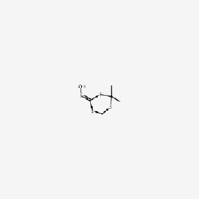 CC1(C)SCS/C(=N/O)S1